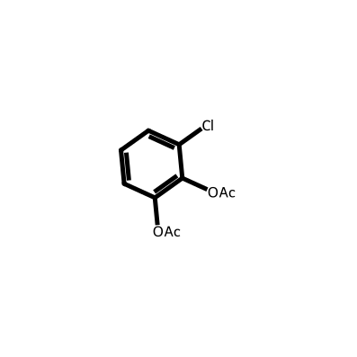 CC(=O)Oc1cccc(Cl)c1OC(C)=O